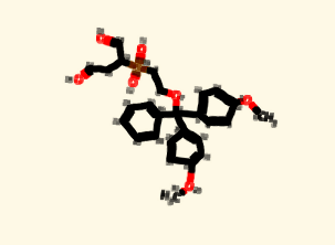 COc1ccc(C(OCCS(=O)(=O)C([C]=O)C[C]=O)(c2ccccc2)c2ccc(OC)cc2)cc1